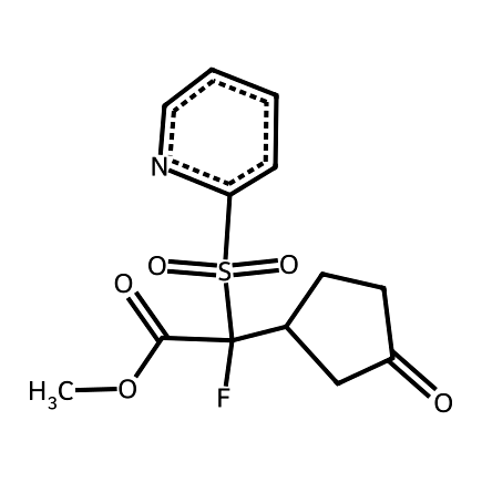 COC(=O)C(F)(C1CCC(=O)C1)S(=O)(=O)c1ccccn1